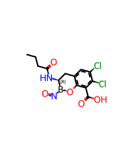 CCCC(=O)N[C@H]1Cc2cc(Cl)c(Cl)c(C(=O)O)c2OB1N=O